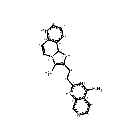 CC1=C(CCc2nc(C)c3ccncc3n2)NC2c3cccnc3C=CN12